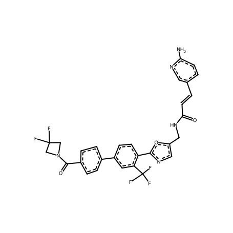 Nc1ccc(/C=C/C(=O)NCc2cnc(-c3ccc(-c4ccc(C(=O)N5CC(F)(F)C5)cc4)cc3C(F)(F)F)o2)cn1